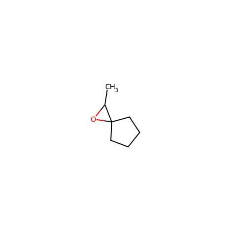 CC1OC12CCCC2